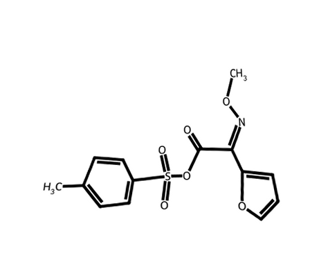 CO/N=C(\C(=O)OS(=O)(=O)c1ccc(C)cc1)c1ccco1